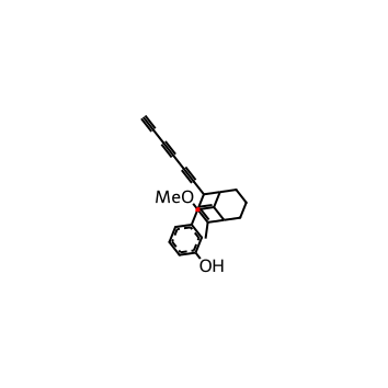 C#CC#CC#CC1C=C(C)C2CCCC1/C2=C(\OC)c1cccc(O)c1